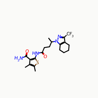 Cc1sc(NC(=O)CCC(C)n2nc(C(F)(F)F)c3c2CCCC3)c(C(N)=O)c1C